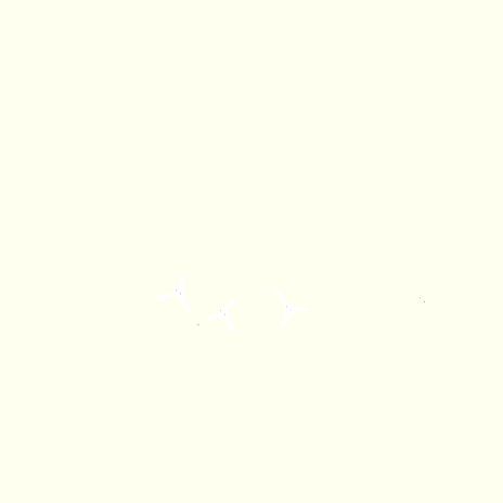 N#Cc1ccc(N2CCN(C(=O)N3CCC(C(=O)O)(c4ccccc4)CC3)CC2)cc1